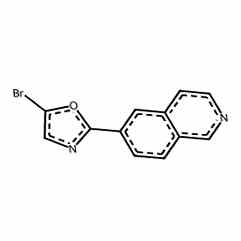 Brc1cnc(-c2ccc3cnccc3c2)o1